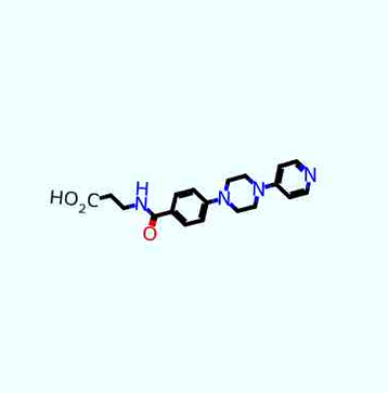 O=C(O)CCNC(=O)c1ccc(N2CCN(c3ccncc3)CC2)cc1